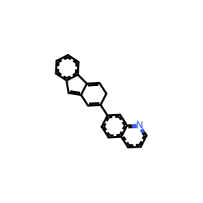 C1=C2C=C(c3ccc4cccnc4c3)CC=C2c2ccccc21